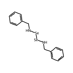 c1ccc(CN[Se][Se]NCc2ccccc2)cc1